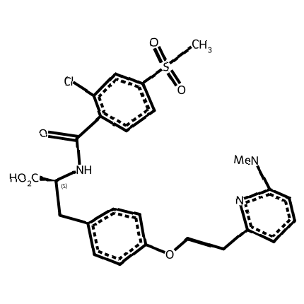 CNc1cccc(CCOc2ccc(C[C@H](NC(=O)c3ccc(S(C)(=O)=O)cc3Cl)C(=O)O)cc2)n1